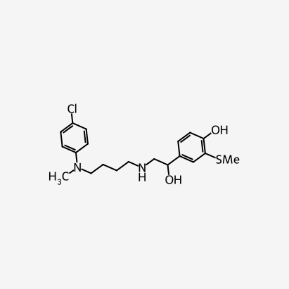 CSc1cc(C(O)CNCCCCN(C)c2ccc(Cl)cc2)ccc1O